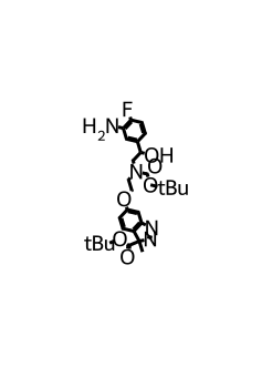 CC(C)(C)OC(=O)N(CCOc1ccc2c(c1)N=NC2(C)C(=O)OC(C)(C)C)CC(O)c1ccc(F)c(N)c1